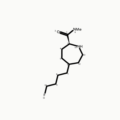 CNC(=O)[C@@H]1CCC(CCCCF)CCN1